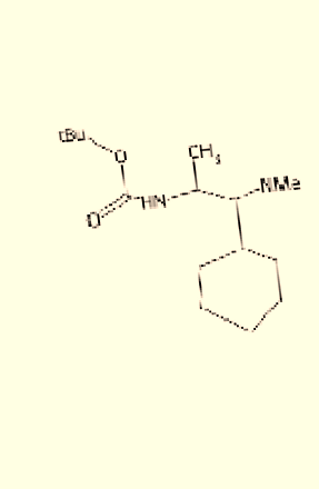 CNC(C1CCCCC1)C(C)NC(=O)OC(C)(C)C